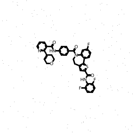 O=C(Nc1c(F)cccc1F)c1cc2c(s1)-c1ccc(F)cc1N(C(=O)c1ccc(NC(=O)c3cccnc3C3=CCOCC3)cc1)CC2